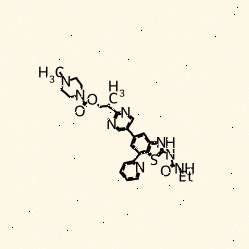 CCNC(=O)Nc1nc2cc(-c3cnc(C(C)COC(=O)N4CCN(C)CC4)nc3)cc(-c3ccccn3)c2s1